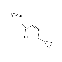 C=N/C=C(C)\C=N/CC1CC1